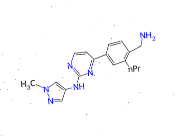 CCCc1cc(-c2ccnc(Nc3cnn(C)c3)n2)ccc1CN